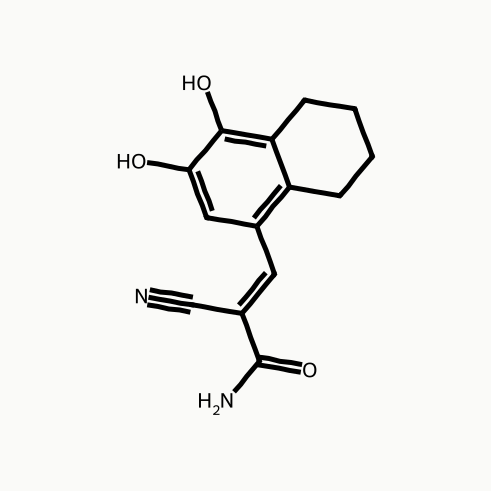 N#C/C(=C\c1cc(O)c(O)c2c1CCCC2)C(N)=O